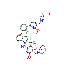 COc1nc(-c2cccc(-c3cccc4c3CC[C@@H]4Nc3nc(OC)c(CN4CCC5CC4(C(=O)O)C5)cc3C(F)(F)F)c2Cl)ccc1CN1CC(C)(O)C1